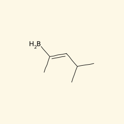 BC(C)=CC(C)C